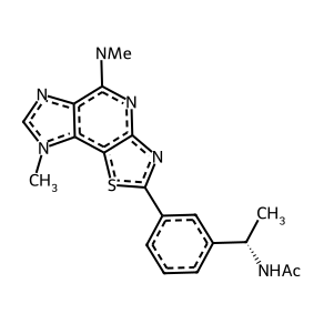 CNc1nc2nc(-c3cccc([C@H](C)NC(C)=O)c3)sc2c2c1ncn2C